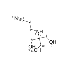 N#CCCNC(CO)(CO)CO